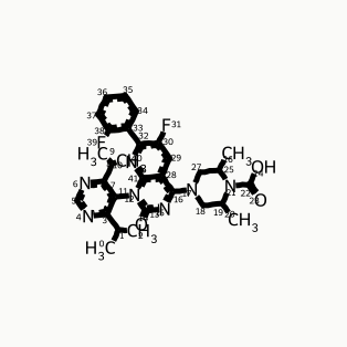 CC(C)c1ncnc(C(C)C)c1-n1c(=O)nc(N2CC(C)N(C(=O)O)C(C)C2)c2cc(F)c(-c3ccccc3F)nc21